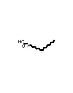 CCCCCCC/C=C\CCCCCSCC(=O)O